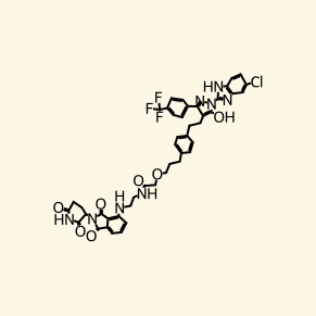 O=C(COCCCc1ccc(CCc2c(-c3ccc(C(F)(F)F)cc3)nn(-c3nc4cc(Cl)ccc4[nH]3)c2O)cc1)NCCNc1cccc2c1C(=O)N(C1CCC(=O)NC1=O)C2=O